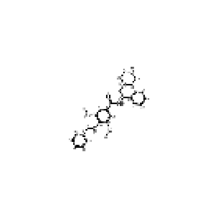 COc1cc(C(=O)NC(CN2CCOCC2)c2ccccc2)cc(OC)c1OCc1ccccc1